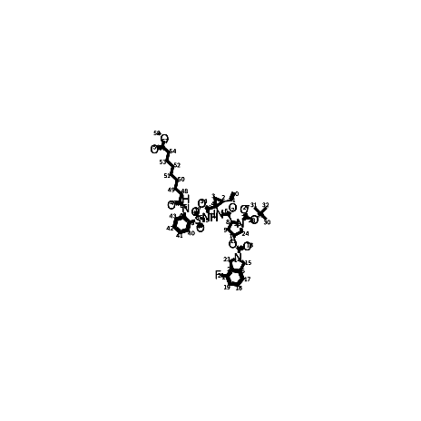 C=C[C@@H]1C[C@]1(NC(=O)[C@@H]1C[C@@H](OC(=O)N2Cc3cccc(F)c3C2)CN1C(=O)OC(C)(C)C)C(=O)NS(=O)(=O)c1ccccc1NC(=O)CCCCCCCC(=O)OC